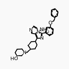 N[N+]12C=CN=CC1=C(C1CCC(CN3CCCC(O)C3)CC1)N=C2c1cccc(OCc2ccccc2)c1